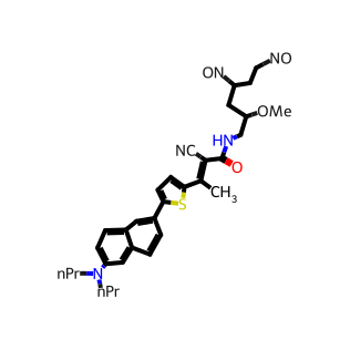 CCCN(CCC)c1ccc2cc(-c3ccc(/C(C)=C(\C#N)C(=O)NCC(CC(CCN=O)N=O)OC)s3)ccc2c1